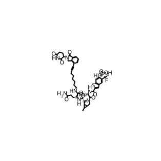 CCCC[C@H](NC(=O)c1cc2cc(C(F)(F)P(=O)(O)O)ccc2s1)C(=O)N1CC2C(C)C2[C@@H]1C(=O)N[C@@H](CCC(N)=O)C(=O)NCCCCCCC#Cc1cccc2c1CN(C1CCC(=O)NC1=O)C2=O